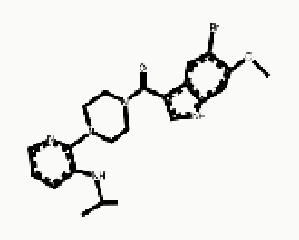 COc1cc2[nH]cc(C(=O)N3CCN(c4ncccc4NC(C)C)CC3)c2cc1Br